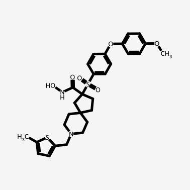 COc1ccc(Oc2ccc(S(=O)(=O)C3(C(=O)NO)CCC4(CCN(Cc5ccc(C)s5)CC4)C3)cc2)cc1